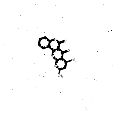 Cc1cc(C)c2c(=O)c3c(=O)oc4ccccc4c3oc2n1